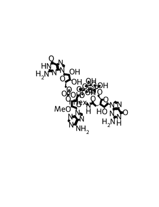 CCCCCCNC(=O)C[C@H]1[C@@H](O)[C@H](n2cnc3c(=O)[nH]c(N)nc32)O[C@@H]1COP(=O)(O)OP(=O)(O)OP(=O)(O)OCC1O[C@@H](n2cnc3c(N)ncnc32)[C@H](OC)[C@@H]1OP(=O)(O)OC[C@H]1O[C@@H](n2cnc3c(=O)[nH]c(N)nc32)[C@H](O)[C@@H]1O